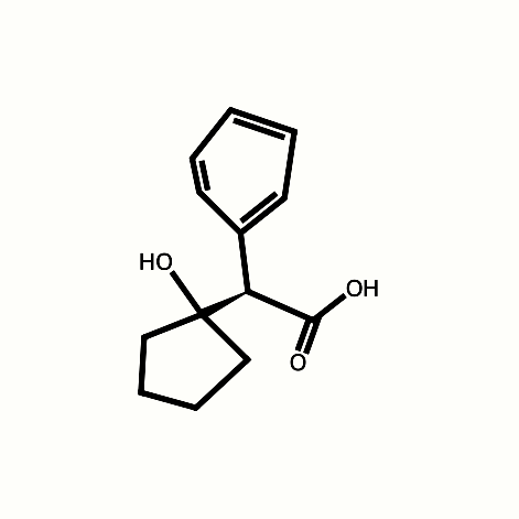 O=C(O)[C@H](c1ccccc1)C1(O)CCCC1